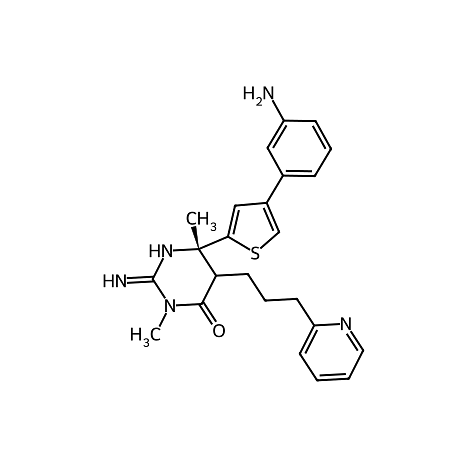 CN1C(=N)N[C@](C)(c2cc(-c3cccc(N)c3)cs2)C(CCCc2ccccn2)C1=O